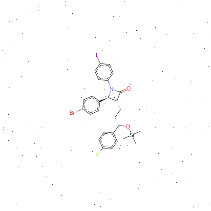 C[Si](C)(C)O[C@@H](CC[C@H]1C(=O)N(c2ccc(I)cc2)[C@@H]1c1ccc(Br)cc1)c1ccc(F)cc1